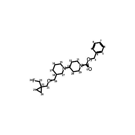 O=C(OCc1ccccc1)N1CCC(N2CCCC(COCC3(CF)CC3)C2)CC1